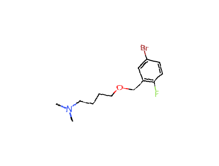 CN(C)CCCCOCc1cc(Br)ccc1F